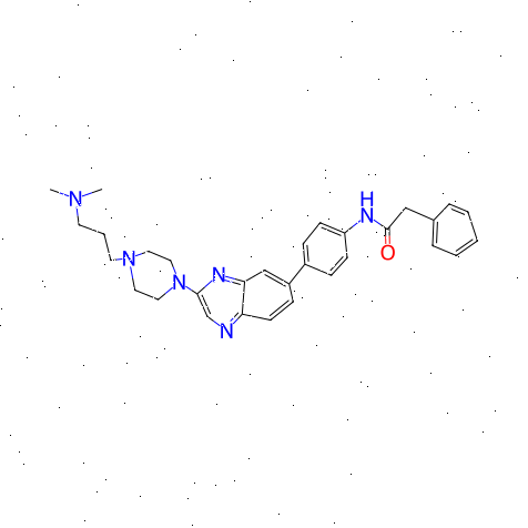 CN(C)CCCN1CCN(c2cnc3ccc(-c4ccc(NC(=O)Cc5ccccc5)cc4)cc3n2)CC1